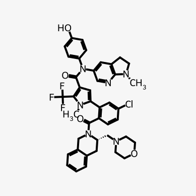 CN1CCc2cc(N(C(=O)c3cc(-c4cc(Cl)ccc4C(=O)N4Cc5ccccc5C[C@H]4CN4CCOCC4)n(C)c3C(F)(F)F)c3ccc(O)cc3)cnc21